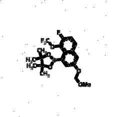 COCOc1cc(B2OC(C)(C)C(C)(C)O2)c2c(OC(F)(F)F)c(F)ccc2c1